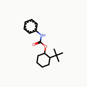 CC(C)(C)C1CCCCC1OC(=O)Nc1ccccc1